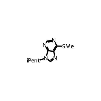 CCCC(C)n1cnc2c(SC)ncnc21